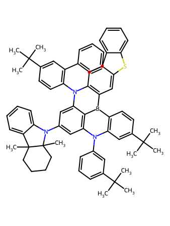 CC(C)(C)c1cccc(N2c3cc(C(C)(C)C)ccc3B3c4cc5sc6ccccc6c5cc4N(c4ccc(C(C)(C)C)cc4-c4ccccc4)c4cc(N5c6ccccc6C6(C)CCCCC56C)cc2c43)c1